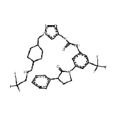 O=C([N-]c1c[n+](CC2CCC(CNCC(F)(F)F)CC2)no1)Nc1cc(N2CCC(c3ccccc3)C2=O)cc(C(F)(F)F)c1